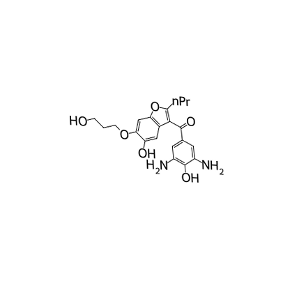 CCCc1oc2cc(OCCCO)c(O)cc2c1C(=O)c1cc(N)c(O)c(N)c1